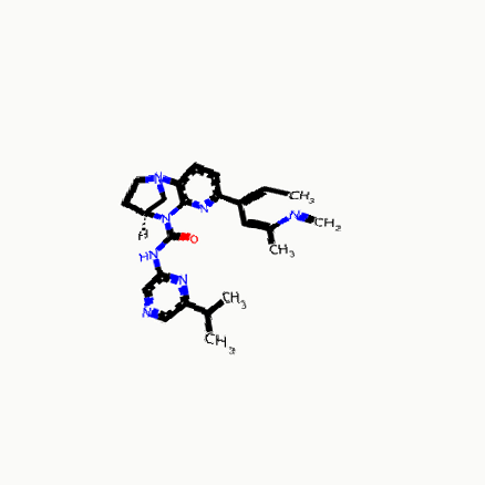 C=N/C(C)=C\C(=C/C)c1ccc2c(n1)N(C(=O)Nc1cncc(C(C)C)n1)[C@H]1CCN2C1